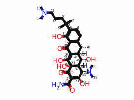 C[C@H]1c2ccc(C(C)(C)CCCN(C)C)c(O)c2C(=O)C2=C(O)[C@@]3(O)C(=O)C(C(N)=O)=C(O)[C@@H](N(C)C)[C@@H]3[C@@H](O)[C@@H]21